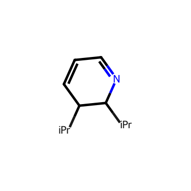 CC(C)C1C=CC=NC1C(C)C